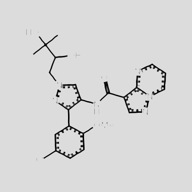 COc1ccc(Cl)cc1-c1nn(CC(O)C(C)(C)O)cc1NC(=O)c1cnn2cccnc12